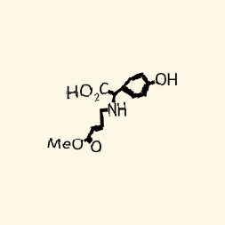 COC(=O)C=CCNC(C(=O)O)c1ccc(O)cc1